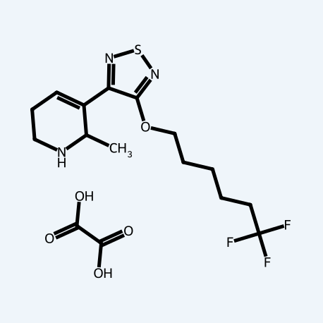 CC1NCCC=C1c1nsnc1OCCCCCC(F)(F)F.O=C(O)C(=O)O